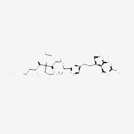 Nc1nc(O)c2c(CCc3cnc(C(=O)N[C@@H](CCC(=O)O)C(=O)C(C[C@H](N)C(=O)O)(C(=O)O)C(=O)[C@@H](N)CCC(=O)O)s3)c[nH]c2n1